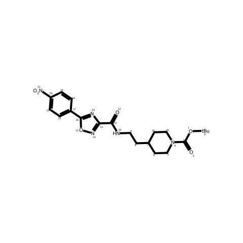 CC(C)(C)OC(=O)N1CCC(CCNC(=O)c2noc(-c3ccc([N+](=O)[O-])cc3)n2)CC1